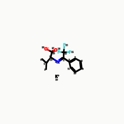 CC(C)[C@H](N=C(c1ccccc1)C(F)(F)F)C(=O)[O-].[K+]